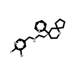 Fc1ncc(CNCC[C@]2(c3ccccn3)CCOC3(CCCC3)C2)cc1Br